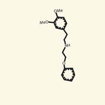 COc1ccc(CCNCCOc2ccccc2)cc1OC